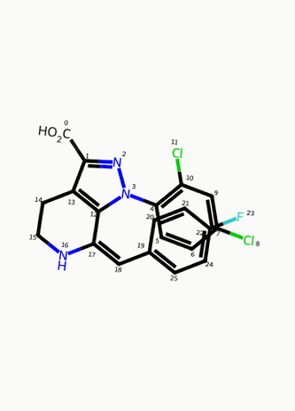 O=C(O)c1nn(-c2ccc(Cl)cc2Cl)c2c1CCN/C2=C/c1ccc(F)cc1